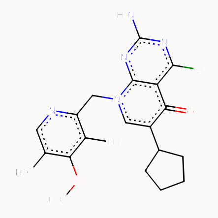 COc1c(C)cnc(Cn2cc(C3CCCC3)c(=O)c3c(Cl)nc(N)nc32)c1C